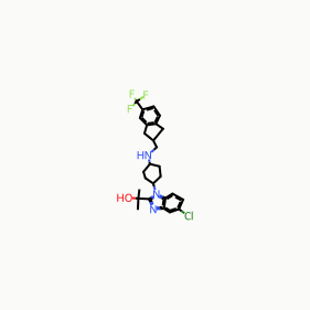 CC(C)(O)c1nc2cc(Cl)ccc2n1C1CCC(NCC2Cc3ccc(C(F)(F)F)cc3C2)CC1